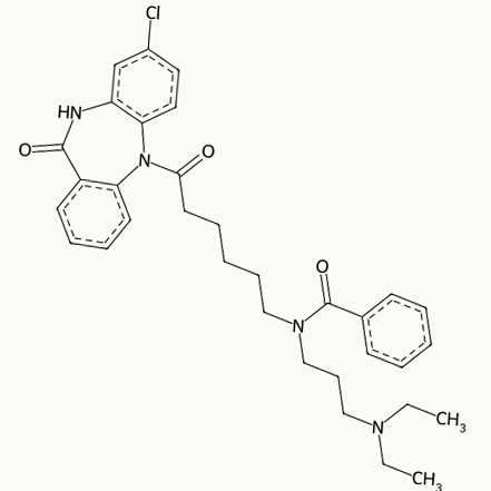 CCN(CC)CCCN(CCCCCC(=O)N1c2ccc(Cl)cc2NC(=O)c2ccccc21)C(=O)c1ccccc1